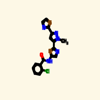 Cn1nc(-c2nccs2)cc1-c1ncc(NC(=O)c2ccccc2Cl)s1